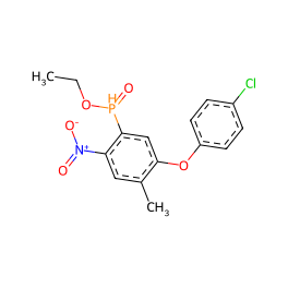 CCO[PH](=O)c1cc(Oc2ccc(Cl)cc2)c(C)cc1[N+](=O)[O-]